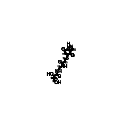 CC(C)(CO)[C@@H](O)C(=O)NCCNC(=O)CCSC1=CC(=O)c2[nH]ncc2C1=O